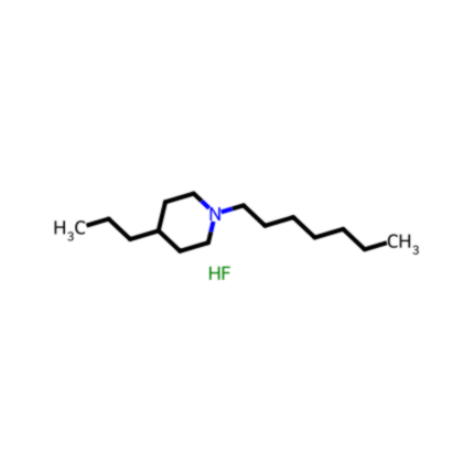 CCCCCCCN1CCC(CCC)CC1.F